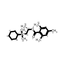 Cc1cc(C)c(C(=O)O[C@@H](C)C[N+](C)(C)C2CCCCC2)c(C)c1